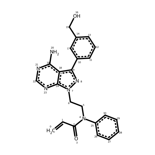 C=CC(=O)N(CCn1nc(-c2cccc(CO)c2)c2c(N)ncnc21)c1ccccc1